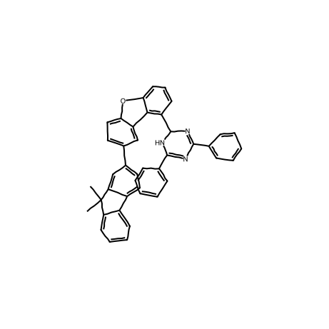 CC1(C)c2ccccc2-c2ccc(-c3ccc4oc5cccc(C6N=C(c7ccccc7)N=C(c7ccccc7)N6)c5c4c3)cc21